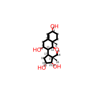 C[C@]12CC[C@H](O)C=C1C[C@H](O)C1C2OC[C@@]2(C)C1C[C@@H](O)[C@@H]2O